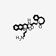 NCCCNC(=O)C(Cc1ccc2ccccc2c1)NC(=O)CCN1C(=O)CCCCc2ccccc21